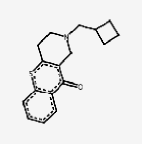 O=c1c2c(sc3ccccc13)CCN(CC1CCC1)C2